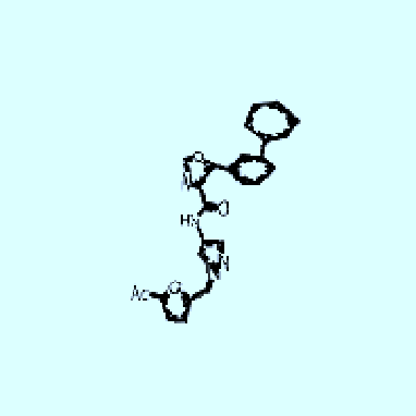 CC(=O)c1ccc(Cn2cc(NC(=O)c3ncoc3-c3cccc(-c4ccccc4)c3)cn2)o1